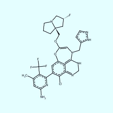 Cc1cc(N)nc(-c2cc3c4c(c2Cl)=NCNC=4N(Cc2ccn[nH]2)C=C(OC[C@@]24CCCN2C[C@H](F)C4)O3)c1C(F)(F)F